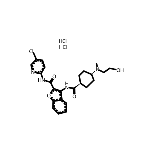 CN(CCO)[C@H]1CC[C@H](C(=O)Nc2c(C(=O)Nc3ccc(Cl)cn3)oc3ccccc23)CC1.Cl.Cl